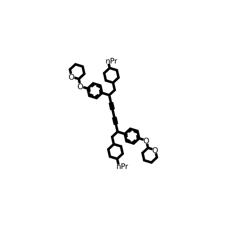 CCCC1CCC(CC(C#CC#CC(CC2CCC(CCC)CC2)c2ccc(OC3CCCCO3)cc2)c2ccc(OC3CCCCO3)cc2)CC1